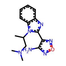 CC(CN(C)C)n1c(-c2nonc2N)nc2ccccc21